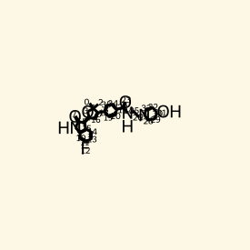 CC1(C)OC(=C2C(=O)Nc3cc(F)ccc32)C=C1c1ccc(C(=O)NCCN2CCC(O)CC2)cc1